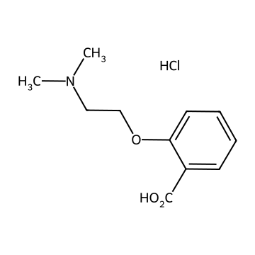 CN(C)CCOc1ccccc1C(=O)O.Cl